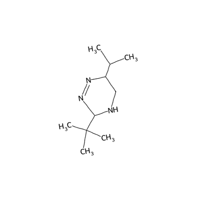 CC(C)C1CNC(C(C)(C)C)N=N1